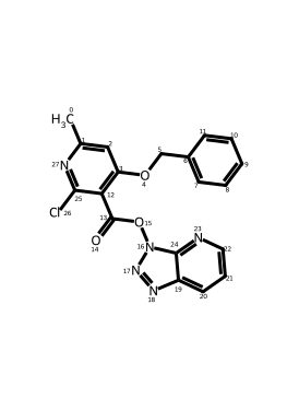 Cc1cc(OCc2ccccc2)c(C(=O)On2nnc3cccnc32)c(Cl)n1